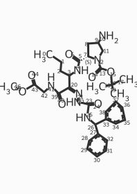 CCCC(NC(=O)[C@@H]1CC(N)CN1C(=O)OC(C)(C)C)C(=NNC(=O)NC(c1ccccc1)c1ccccc1)C(=O)NCC(=O)OC